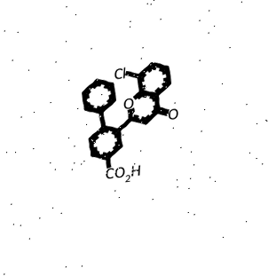 O=C(O)c1ccc(-c2ccccc2)c(-c2cc(=O)c3cccc(Cl)c3o2)c1